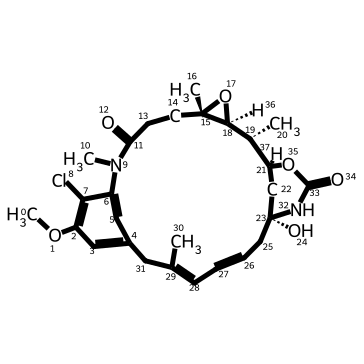 COc1cc2cc(c1Cl)N(C)C(=O)CC[C@]1(C)O[C@H]1[C@H](C)[C@@H]1C[C@](O)(C/C=C/C=C(\C)C2)NC(=O)O1